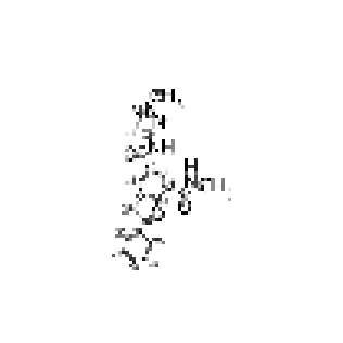 CNC(=O)c1cc(C(=O)Nc2cnn(C)n2)cc2c1O[C@@H](c1ccccc1)C2